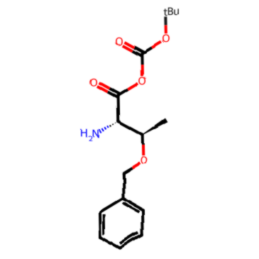 C[C@@H](OCc1ccccc1)[C@H](N)C(=O)OC(=O)OC(C)(C)C